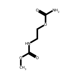 COC(=O)NCCOC(N)=O